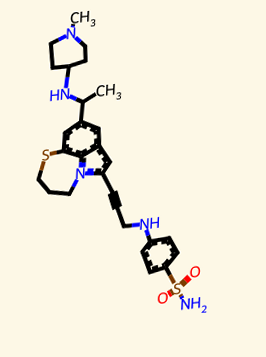 CC(NC1CCN(C)CC1)c1cc2c3c(c1)cc(C#CCNc1ccc(S(N)(=O)=O)cc1)n3CCCS2